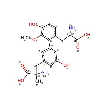 COc1c(O)ccc(C[C@H](N)C(=O)O)c1-c1cc(O)cc(CC(C)(N)C(=O)O)c1